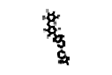 Cc1nc2cc(-c3ccc4[nH]c(-c5c(F)c(F)c(Cc6c(F)c(F)c(C)c(F)c6F)c(F)c5F)nc4c3)ccc2[nH]1